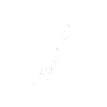 O=C(c1coc(CN(C2CC2)S(=O)(=O)c2c(Cl)cc(Br)cc2Cl)c1)N1CCCC(c2ccc(CN3CCCC3)cc2)C1